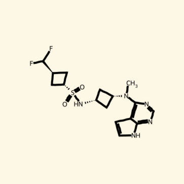 CN(c1ncnc2[nH]ccc12)[C@H]1C[C@@H](NS(=O)(=O)[C@H]2C[C@H](C(F)F)C2)C1